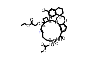 CCOC(=O)CO[C@H]1/C=C/CC[C@@H](CC(=O)OC)S(=O)(=O)NC(=O)c2ccc3c(c2)N(C[C@@H]2CC[C@H]21)C[C@@]1(CCCc2cc(Cl)ccc21)CO3